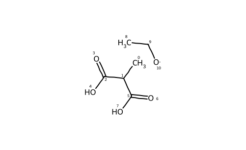 CC(C(=O)O)C(=O)O.CC[O]